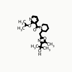 Cc1oc(CC2CCCCN2C(=O)c2cccnc2OC(C)C)nc1C(C)(C)O